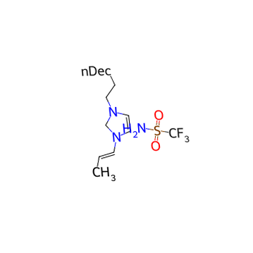 CC=CN1C=CN(CCCCCCCCCCCC)C1.NS(=O)(=O)C(F)(F)F